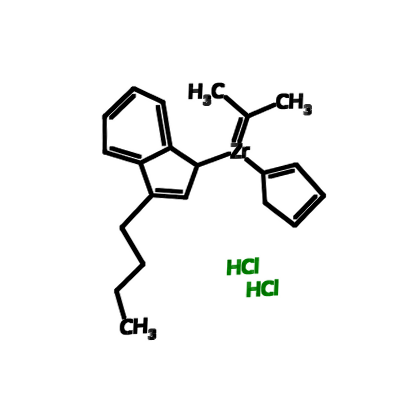 CCCCC1=C[CH]([Zr]([C]2=CC=CC2)=[C](C)C)c2ccccc21.Cl.Cl